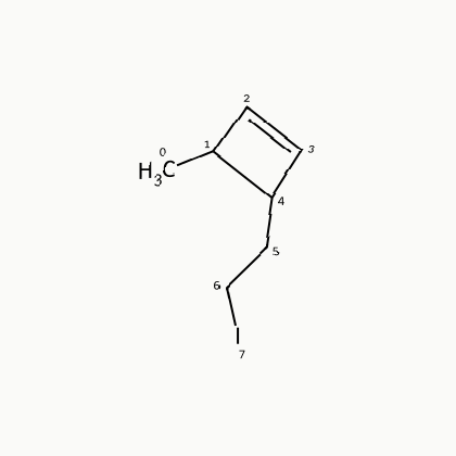 CC1C=CC1CCI